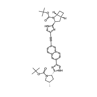 C[C@H]1C[C@@H](c2nc(-c3ccc4cc(C#Cc5c[nH]c([C@@H]6C[C@H]7CC[C@H]7N6C(=O)OC(C)(C)C)n5)ccc4c3)c[nH]2)N(C(=O)OC(C)(C)C)C1